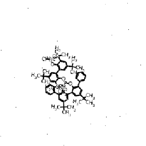 CC(C)(C)c1cc(-c2cc(C(C)(C)C)cc([Si](C)(C)C)c2Op2oc3c(-c4ccccc4)cc(C(C)(C)C)cc3c3cc(C(C)(C)C)cc(-c4ccccc4)c3o2)c(OP(Cl)Cl)c([Si](C)(C)C)c1